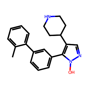 Cc1ccccc1-c1cccc(-c2c(C3CCNCC3)cnn2O)c1